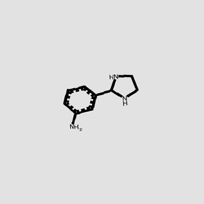 Nc1cccc(C2NCCN2)c1